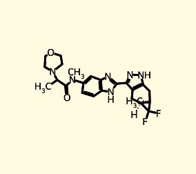 CC(C(=O)N(C)c1ccc2[nH]c(-c3n[nH]c4c3C[C@@H]3C(F)(F)[C@]3(C)C4)nc2c1)N1CCOCC1